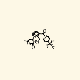 Cc1cc(-n2ncc(C(=O)N3CCC(C(F)(F)F)CC3)c2C)[nH]c(=O)n1